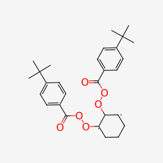 CC(C)(C)c1ccc(C(=O)OO[C]2CCC[CH]C2OOC(=O)c2ccc(C(C)(C)C)cc2)cc1